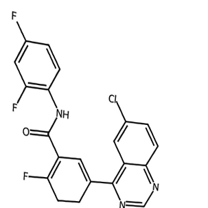 O=C(Nc1ccc(F)cc1F)C1=C(F)CCC(c2ncnc3ccc(Cl)cc23)=C1